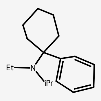 CCN(C(C)C)C1(c2ccccc2)CCCCC1